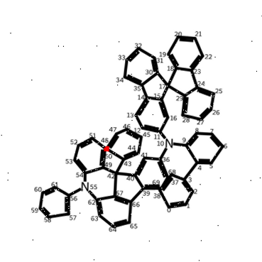 c1ccc(-c2ccccc2N(c2ccc3c(c2)C2(c4ccccc4-c4ccccc42)c2ccccc2-3)c2ccc3c(c2)C2(c4ccccc4)c4ccccc4N(c4ccccc4)c4cccc-3c42)cc1